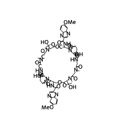 COc1ccc2nc(C(=O)N[C@@H]3COC(=O)[C@H](C(C)(C)O)N(C)C(=O)CN(C)C(=O)CNC(=O)[C@@H]4[C@@H](O)CC=NN4C(=O)[C@H](NC(=O)c4cnc5cc(OC)ccc5n4)COC(=O)[C@H](C(C)(C)O)N(C)C(=O)CN(C)C(=O)CNC(=O)[C@@H]4[C@@H](O)CC=NN4C3=O)cnc2c1